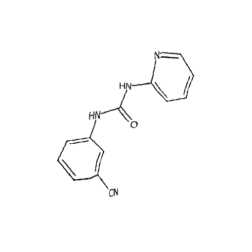 N#Cc1cccc(NC(=O)Nc2ccccn2)c1